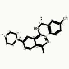 Cc1nnc(N[C@H](C)c2cccc(C#N)c2)c2cc(N3CCOCC3)ccc12